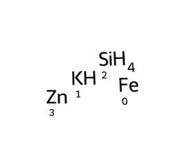 [Fe].[KH].[SiH4].[Zn]